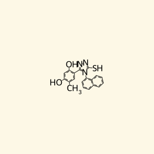 Cc1cc(-c2nnc(S)n2-c2cccc3ccccc23)c(O)cc1O